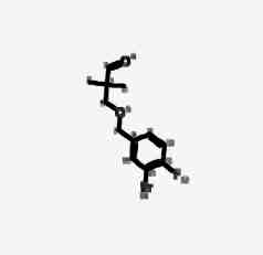 CC(C)(C=O)COCc1ccc(F)c(Br)c1